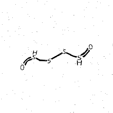 O=[SH]SS[SH]=O